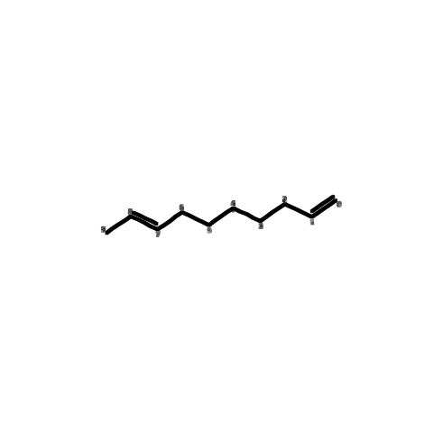 C=CCC[CH]CCC=CC